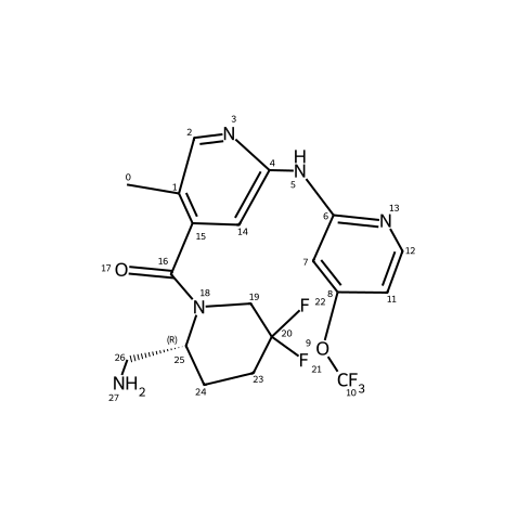 Cc1cnc(Nc2cc(OC(F)(F)F)ccn2)cc1C(=O)N1CC(F)(F)CC[C@@H]1CN